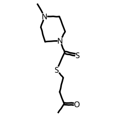 CC(=O)CCSC(=S)N1CCN(C)CC1